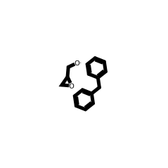 [O]CC1CO1.c1ccc(Cc2ccccc2)cc1